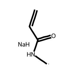 [CH2]NC(=O)C=C.[NaH]